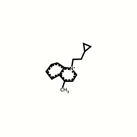 Cc1cc[n+](CCC2CC2)c2ccccc12